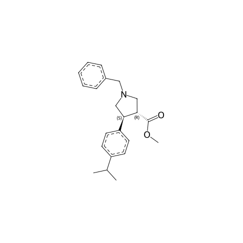 COC(=O)[C@H]1CN(Cc2ccccc2)C[C@@H]1c1ccc(C(C)C)cc1